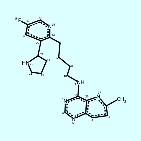 Cc1ccc2ncnc(NCCCCc3ncc(F)cc3C3CCCN3)c2n1